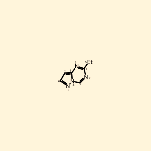 CCc1n[c]n2nccc2n1